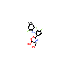 Cc1ccc(Nc2c(C(=O)N[C@@H](CO)C(=O)O)ccc(F)c2F)c(F)c1